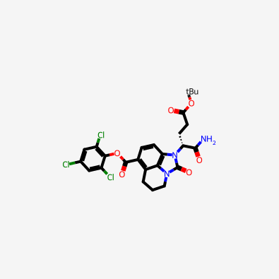 CC(C)(C)OC(=O)CC[C@H](C(N)=O)n1c(=O)n2c3c(c(C(=O)Oc4c(Cl)cc(Cl)cc4Cl)ccc31)CCC2